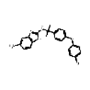 CC(C)(Nc1nc2cc(N)ccc2[nH]1)c1ccc(Oc2ccc(Cl)cc2)cc1